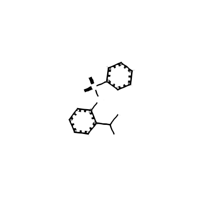 CC(C(=O)O)c1ccccc1OS(=O)(=O)c1ccccc1